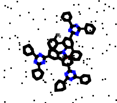 FC(F)(F)c1ccccc1-c1cc(-c2nc(-c3ccccc3)nc(-c3ccccc3)n2)cc(-c2ccccc2C(F)(F)F)c1-n1c2ccc(-c3nc(-c4ccccc4)nc(-c4ccccc4)n3)cc2c2cc(-c3nc(-c4ccccc4)nc(-c4ccccc4)n3)ccc21